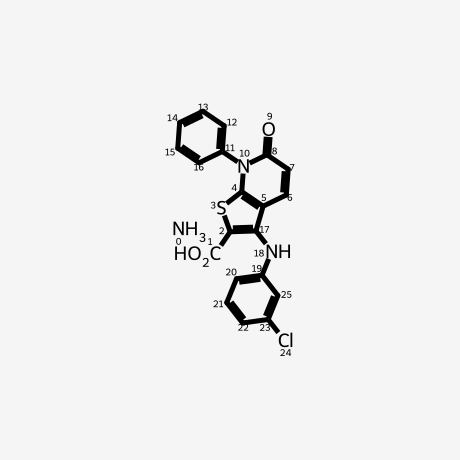 N.O=C(O)c1sc2c(ccc(=O)n2-c2ccccc2)c1Nc1cccc(Cl)c1